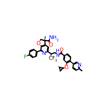 Cc1ccc(-c2ccc(C(=O)NC[C@H](c3cc4c(c(-c5ccc(F)cc5)n3)OC[C@]4(C)C(N)=O)C(F)(F)F)cc2OC2CC2)cn1